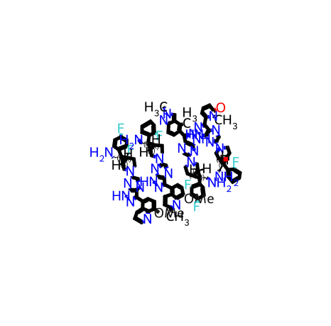 COc1ccc(-c2n[nH]c3nc(N4CC[C@@H]5[C@H](C4)[C@@]5(CN)c4ccc(F)cc4F)cnc23)c2cccnc12.COc1ccc(-c2n[nH]c3nc(N4CC[C@@H]5[C@H](C4)[C@@]5(CN)c4ccccc4F)cnc23)c2ccc(C)nc12.Cc1c(-c2n[nH]c3nc(N4CC[C@@H]5[C@H](C4)[C@@]5(CN)c4ccc(F)cc4F)cnc23)ccc2nn(C)cc12.Cn1c(-c2n[nH]c3nc(N4CC[C@@H]5[C@H](C4)[C@@]5(CN)c4ccccc4F)cnc23)cccc1=O